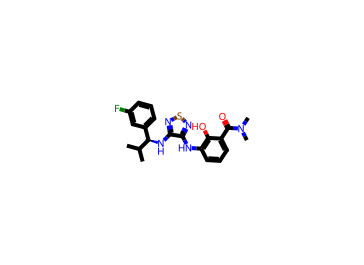 CC(C)[C@H](Nc1nsnc1Nc1cccc(C(=O)N(C)C)c1O)c1cccc(F)c1